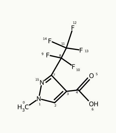 Cn1cc(C(=O)O)c(C(F)(F)C(F)(F)F)n1